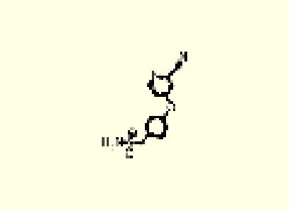 N#Cc1cc(Oc2ccc(CS(N)(=O)=O)cc2)ccn1